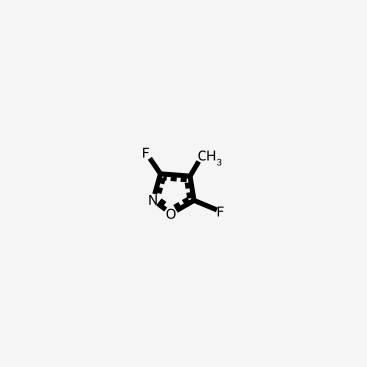 Cc1c(F)noc1F